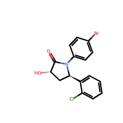 O=C1[C@@H](O)C[C@H](c2ccccc2Cl)N1c1ccc(Br)cc1